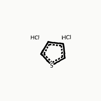 Cl.Cl.c1ccsc1